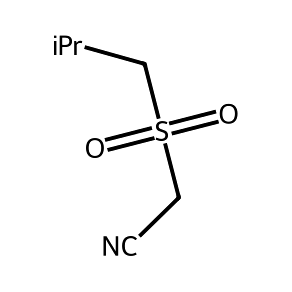 CC(C)CS(=O)(=O)CC#N